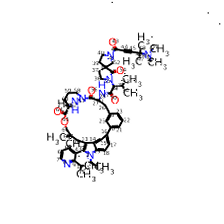 CCn1c(-c2cccnc2C(C)C)c2c3cc(ccc31)-c1cccc(c1)C[C@H](NC(=O)[C@H](C(C)C)N1CC[C@]3(CCN(C(=O)C#CC(C)(C)N(C)C)C3)C1=O)C(=O)N1CCC[C@H](N1)C(=O)OCC(C)(C)C2